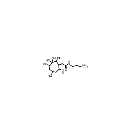 NCCCNC(=O)OC1C(O)CC(O)CC(O)C(O)(O)C1O